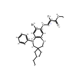 CCCCC1(CC)CSc2cc(O/C=C(\F)C(=O)OC)c(Br)cc2N(c2ccccc2)C1